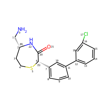 NC[C@H]1CCS[C@@H](c2cccc(-c3cccc(Cl)c3)c2)C(=O)N1